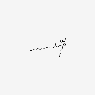 C=CC(=O)OC(CCCCC)CCC(=C)CCCCCCCCCCCC